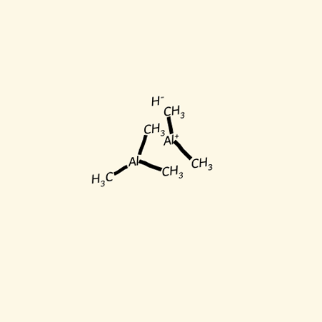 [CH3][Al+][CH3].[CH3][Al]([CH3])[CH3].[H-]